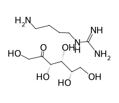 N=C(N)NCCCCN.O=C(CO)[C@@H](O)[C@H](O)[C@@H](O)CO